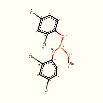 CCCCOP(Oc1ccc(Cl)cc1Cl)Oc1ccc(Cl)cc1Cl